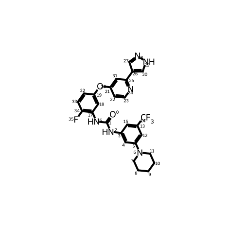 O=C(Nc1cc(N2CCCCC2)cc(C(F)(F)F)c1)Nc1cc(Oc2ccnc(-c3cn[nH]c3)c2)ccc1F